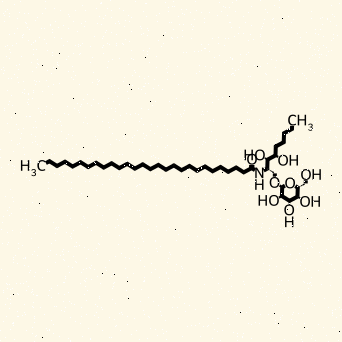 CCCCCCCCCCCCCCCCCCCCCCCCCCCC(=O)N[C@@H](CO[C@H]1O[C@H](CO)[C@H](O)[C@H](O)[C@H]1O)[C@H](O)[C@H](O)CCCCC